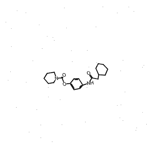 O=C(CC1CCCCC1)Nc1ccc(OC(=O)N2CCCCC2)cc1